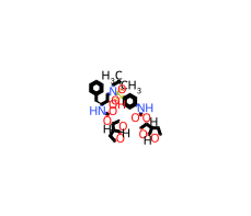 CC(C)CN(C[C@@H](O)[C@H](Cc1ccccc1)NC(=O)OC1CO[C@H]2OCC[C@@H]12)S(=O)(=O)c1ccc(NC(=O)OC2CO[C@@H]3OCC[C@H]23)cc1